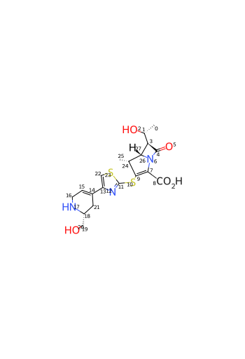 C[C@@H](O)[C@H]1C(=O)N2C(C(=O)O)=C(Sc3nc(C4=CCN[C@@H](CO)C4)cs3)[C@H](C)[C@H]12